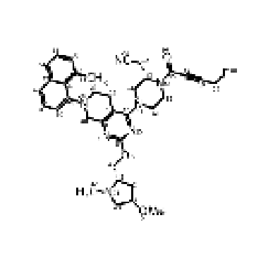 CO[C@@H]1C[C@@H](COc2nc3c(c(N4CCN(C(=O)C#CCF)[C@@H](CC#N)C4)n2)CCN(c2cccc4cccc(C)c24)C3)N(C)C1